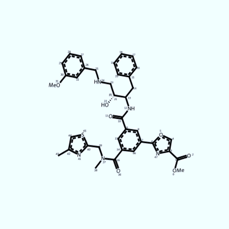 COC(=O)c1coc(-c2cc(C(=O)NC(Cc3ccccc3)[C@H](O)CNCc3cccc(OC)c3)cc(C(=O)N(C)Cc3nc(C)cs3)c2)n1